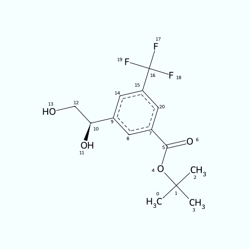 CC(C)(C)OC(=O)c1cc([C@@H](O)CO)cc(C(F)(F)F)c1